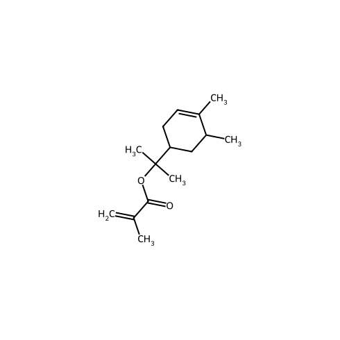 C=C(C)C(=O)OC(C)(C)C1CC=C(C)C(C)C1